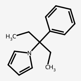 CCC(CC)(c1ccccc1)n1cccc1